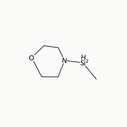 C[SiH2]N1CCOCC1